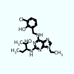 CCC(Nc1nc(NCc2cccc(Cl)c2O)c2ncn(CC)c2n1)C(C)O